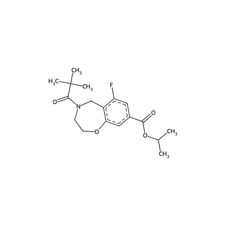 CC(C)OC(=O)c1cc(F)c2c(c1)OCCN(C(=O)C(C)(C)C)C2